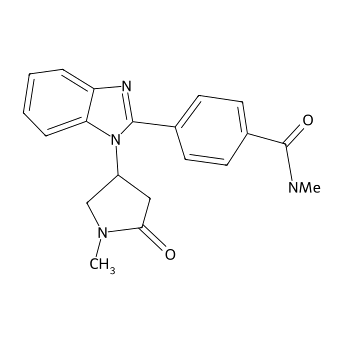 CNC(=O)c1ccc(-c2nc3ccccc3n2C2CC(=O)N(C)C2)cc1